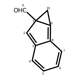 O=CC12C=c3ccccc3=C1C2